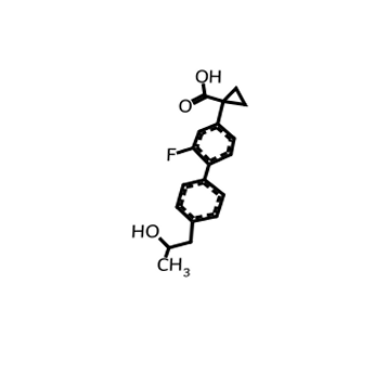 CC(O)Cc1ccc(-c2ccc(C3(C(=O)O)CC3)cc2F)cc1